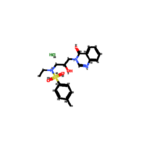 CCN(CC(O)Cn1cnc2ccccc2c1=O)S(=O)(=O)c1ccc(C)cc1.Cl